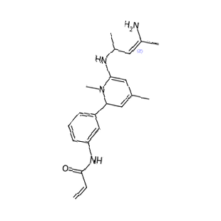 C=CC(=O)Nc1cccc(C2C=C(C)C=C(NC(C)/C=C(/C)N)N2C)c1